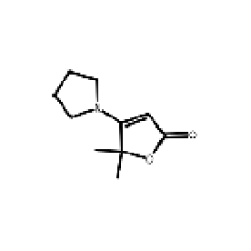 CC1(C)OC(=O)C=C1N1CCCC1